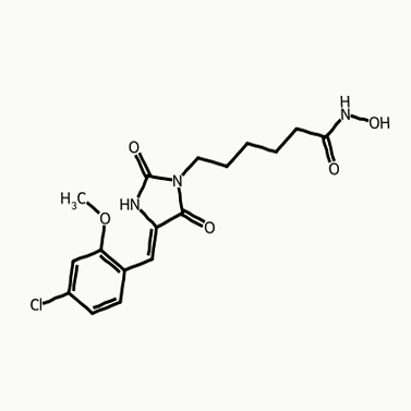 COc1cc(Cl)ccc1C=C1NC(=O)N(CCCCCC(=O)NO)C1=O